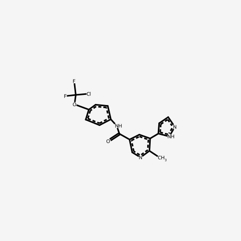 Cc1ncc(C(=O)Nc2ccc(OC(F)(F)Cl)cc2)cc1-c1ccn[nH]1